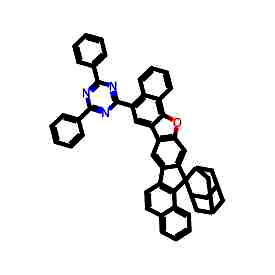 c1ccc(-c2nc(-c3ccccc3)nc(-c3cc4c5cc6c(cc5oc4c4ccccc34)C3(c4c-6ccc5ccccc45)C4CC5CC(C4)CC3C5)n2)cc1